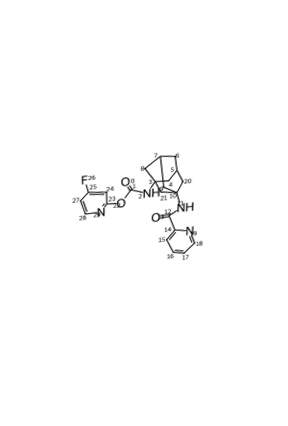 O=C(NC12CC3CC(C1)CC(NC(=O)c1ccccn1)(C3)C2)Oc1cc(F)ccn1